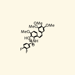 COc1ccc(/C=C\c2cc(OC)c(OC)c(OC)c2)c(NS(=O)(=O)c2ccc(F)c(F)c2)c1O